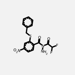 NN(C(=O)c1ccc([N+](=O)[O-])cc1SCc1ccccc1)C(=O)C(F)F